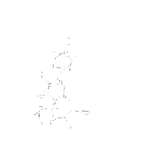 C#CCN(C)c1ccnc2sc3c(=O)n(-c4ccc(Cl)cc4)cnc3c12